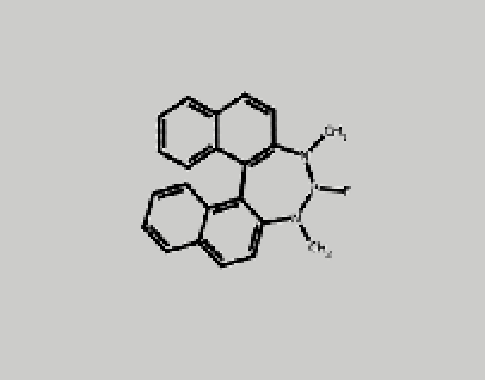 Cn1c2ccc3ccccc3c2c2c3ccccc3ccc2n(C)p1F